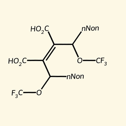 CCCCCCCCCC(OC(F)(F)F)C(C(=O)O)=C(C(=O)O)C(CCCCCCCCC)OC(F)(F)F